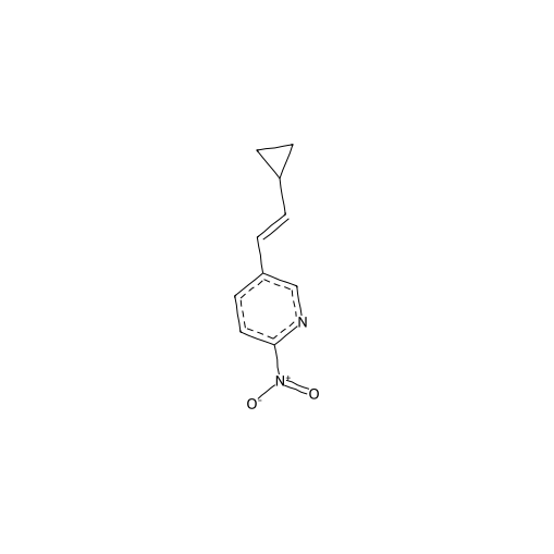 O=[N+]([O-])c1ccc(C=CC2CC2)cn1